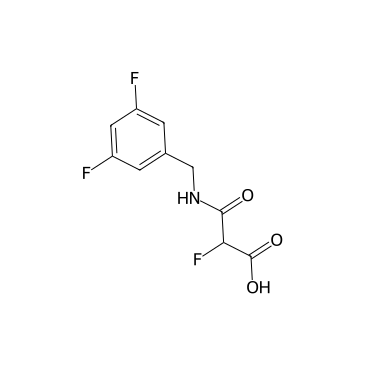 O=C(O)C(F)C(=O)NCc1cc(F)cc(F)c1